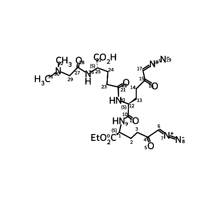 CCOC(=O)[C@H](CCC(=O)C=[N+]=[N-])NC(=O)[C@H](CCC(=O)C=[N+]=[N-])NC(=O)CC[C@H](NC(=O)CN(C)C)C(=O)O